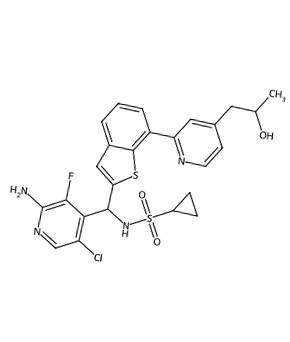 CC(O)Cc1ccnc(-c2cccc3cc(C(NS(=O)(=O)C4CC4)c4c(Cl)cnc(N)c4F)sc23)c1